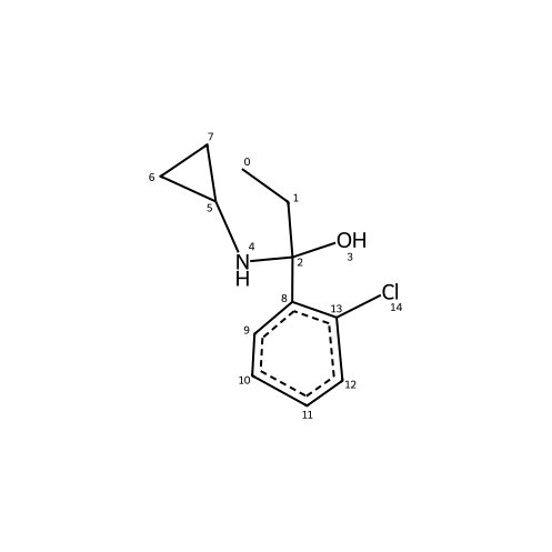 CCC(O)(NC1CC1)c1ccccc1Cl